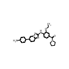 Nc1ccc(-c2ccc3nc(Nc4ccc(C(=O)N5CCCC5)cc4OCC(F)(F)F)nn3c2)cc1